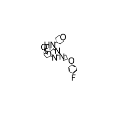 [O-][S@+]1CCc2nc(N3CC(Oc4ccc(F)cc4)C3)nc(NC3CCOCC3)c21